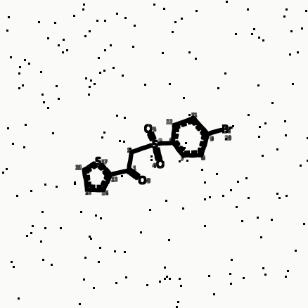 O=C(CS(=O)(=O)c1ccc(Br)cc1)c1cccs1